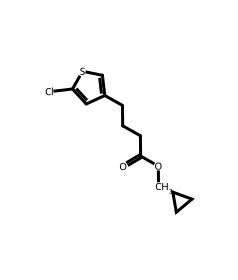 C1CC1.COC(=O)CCCc1csc(Cl)c1